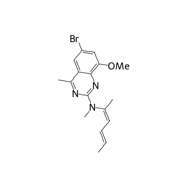 C/C=C/C=C(/C)N(C)c1nc(C)c2cc(Br)cc(OC)c2n1